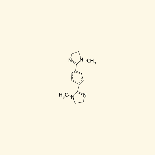 CN1CCN=C1c1ccc(C2=NCCN2C)cc1